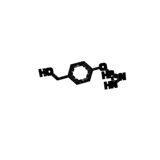 OCc1ccc(O[PH]2=NN2)cc1